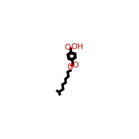 CC(C)CCCCCCCOC(=O)c1ccc(C(=O)O)cc1